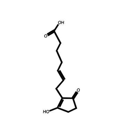 O=C(O)CCC/C=C/CC1=C(O)CCC1=O